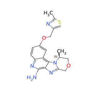 Cc1nc(COc2ccc3nc(N)c4nc5n(c4c3c2)[C@@H](C)COC5)cs1